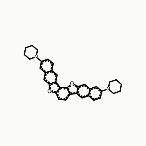 c1cc2cc3c(cc2cc1N1CCCCC1)oc1c3ccc2oc3cc4cc(N5CCCCC5)ccc4cc3c21